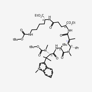 CCOC(=O)[C@@H](CCCCNC(=O)OC(C)(C)C)NC(=O)CC[C@@H](NC(=O)/C(C)=C/[C@H](C(C)C)N(C)C(=O)[C@@H](NC(=O)[C@@H](N(C)C(=O)OC(C)(C)C)C(C)(C)c1cn(C)c2ccccc12)C(C)(C)C)C(=O)OCC